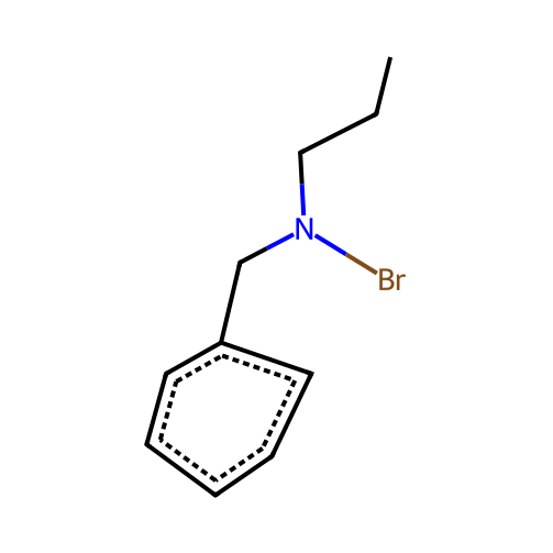 CCCN(Br)Cc1ccccc1